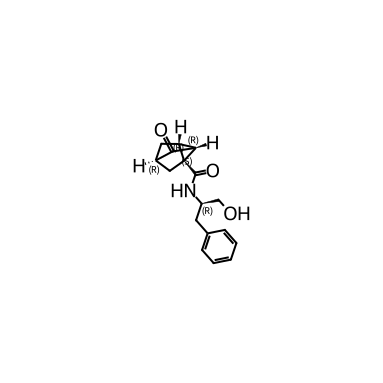 O=C1[C@@H]2C[C@@H]3[C@@H]1[C@]3(C(=O)N[C@@H](CO)Cc1ccccc1)C2